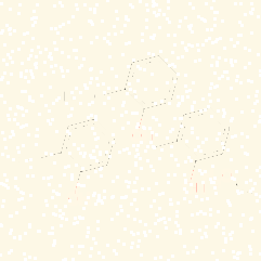 O.O=C(O)c1ccccc1O.O=C(O)c1ccccc1O.O=C([O-])c1ccccc1O.[Na+]